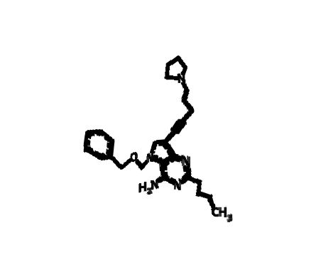 CCCCc1nc(N)c2c(n1)c(C#CCCCN1CCCC1)cn2COCc1ccccc1